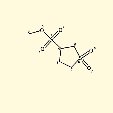 COS(=O)(=O)C1CCS(=O)(=O)C1